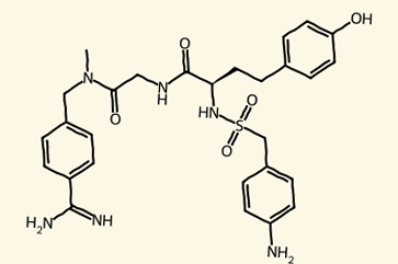 CN(Cc1ccc(C(=N)N)cc1)C(=O)CNC(=O)[C@@H](CCc1ccc(O)cc1)NS(=O)(=O)Cc1ccc(N)cc1